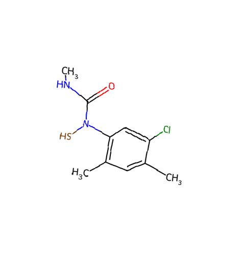 CNC(=O)N(S)c1cc(Cl)c(C)cc1C